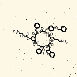 NCCCC[C@@H]1NC(=O)[C@@H](Cc2c[nH]c3ccccc23)NC(=O)[C@H](c2ccccc2)NC(=O)[C@@H]2C[C@@H](OC(=O)NCCN)CC2C(=O)[C@H](Cc2ccccc2)NC(=O)[C@H](Cc2ccc(OCc3ccccc3)cc2)NC1=O